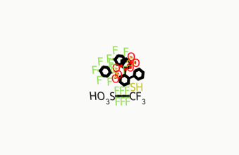 O=S(=O)(O)C(F)(F)C(F)(F)C(F)(F)C(F)(F)F.O=S(=O)(Oc1ccccc1-c1cccc(S)c1-c1ccccc1OS(=O)(=O)c1c(F)c(F)c(F)c(F)c1F)c1c(F)c(F)c(F)c(F)c1F